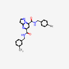 CC(=O)c1ccc(CNC(=O)c2cc(C(=O)NCc3cccc(C(F)(F)F)c3)nc3ccnn23)cc1